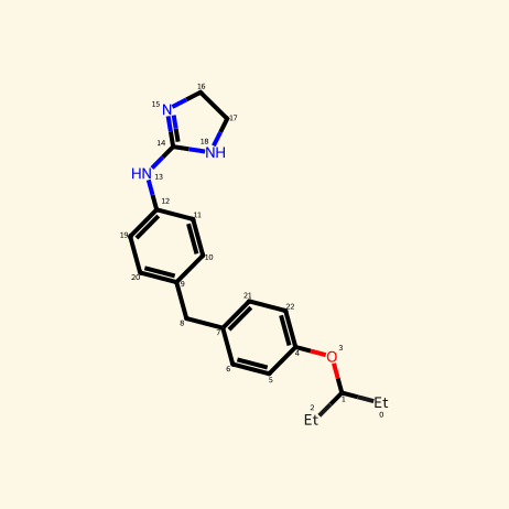 CCC(CC)Oc1ccc(Cc2ccc(NC3=NCCN3)cc2)cc1